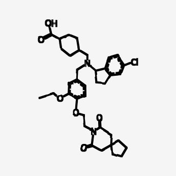 CCOc1cc(CN(CC2CCC(C(=O)O)CC2)C2CCc3cc(Cl)ccc32)ccc1OCCN1C(=O)CC2(CCCC2)CC1=O